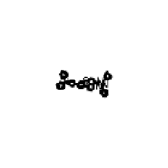 c1ccc(-c2nc(-c3ccccc3)nc(-c3ccc4c5c(cccc35)-c3ccc(-c5ccc(N(c6ccccc6)c6ccccc6)cc5)cc3O4)n2)cc1